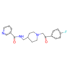 O=C(CN1CCC(CNC(=O)c2cccnc2)CC1)c1ccc(F)cc1